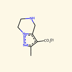 CCOC(=O)c1c(C)nn2c1CNCC2